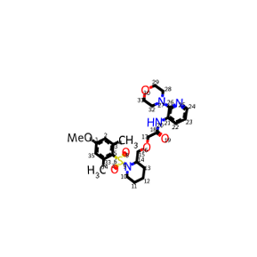 COc1cc(C)c(S(=O)(=O)N2CCCCC2COCC(=O)Nc2cccnc2N2CCOCC2)c(C)c1